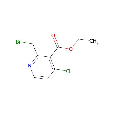 CCOC(=O)c1c(Cl)ccnc1CBr